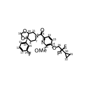 COc1nc(C(=O)N2CC[C@]3(c4cccc(F)c4)OCOC3C2)ccc1OCC(F)(F)C1CC1